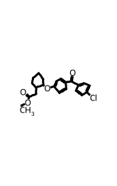 CCOC(=O)CC1CCCCC1Oc1ccc(C(=O)c2ccc(Cl)cc2)cc1